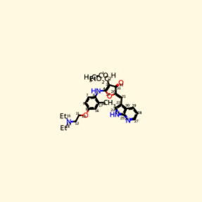 CC(=O)O.CCOC(=O)C1=C(Nc2ccc(OCCN(CC)CC)cc2C)OC(=Cc2c[nH]c3ncccc23)C1=O